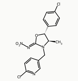 C[C@@H]1[C@@H](c2ccc(Cl)cc2)OC(=N[N+](=O)[O-])N1Cc1ccc(Cl)nc1